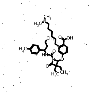 CCCC(NC(=O)N1C(=O)C(CC)(CC)C1Oc1ccc(C(=O)O)c(CCCCCCN(C)C)c1)c1ccc(C)cc1